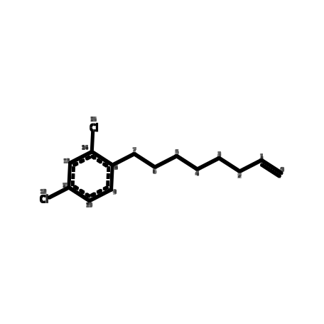 C=CCCCCCCc1ccc(Cl)cc1Cl